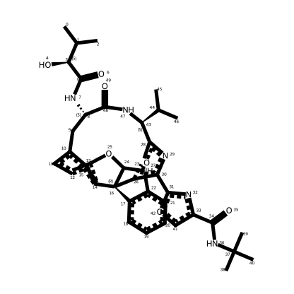 CC(C)[C@H](O)C(=O)N[C@H]1Cc2ccc3c(c2)[C@@]2(c4ccccc4NC2O3)c2oc(nc2-c2nc(C(=O)NC(C)(C)C)co2)[C@H](C(C)C)NC1=O